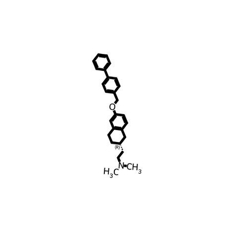 CN(C)CC[C@@H]1CCc2cc(OCc3ccc(-c4ccccc4)cc3)ccc2C1